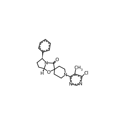 Cc1c(Cl)ncnc1N1CCC2(CC1)O[C@@H]1CC[C@@H](c3ccccc3)N1C2=O